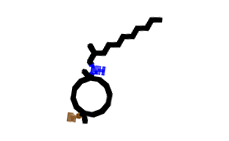 CCCCCCCCCC(C)CNC1(C)CCCCCCC(C)(Br)CCCC1